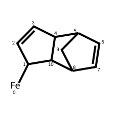 [Fe][CH]1C=CC2C3C=CC(C3)C12